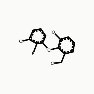 [O]c1cccc(CCl)c1Oc1cccc(Cl)c1F